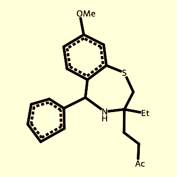 CCC1(CCC(C)=O)CSc2cc(OC)ccc2C(c2ccccc2)N1